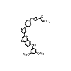 C=CC(=O)N1CC(CN2CCC(n3cc(-c4cnc5ccc(Nc6cc(OC)cc(OC)c6)cc5n4)cn3)CC2)C1